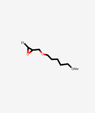 CCC1OC1COCCCCCOC